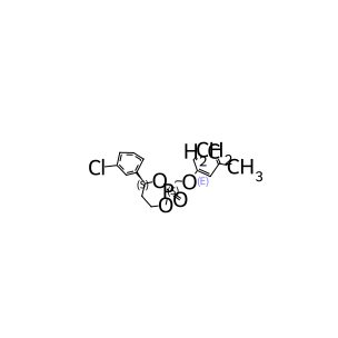 C=C/C(=C\C(=C)C)OC[P@]1(=O)OCC[C@@H](c2cccc(Cl)c2)O1